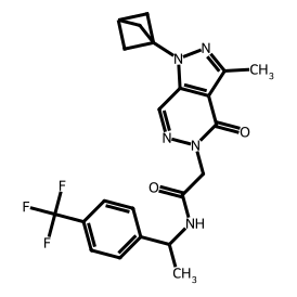 Cc1nn(C23CC(C2)C3)c2cnn(CC(=O)NC(C)c3ccc(C(F)(F)F)cc3)c(=O)c12